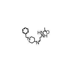 CC(=O)NNC/C=N\C1CCN(Cc2ccccc2)CC1